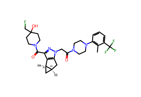 Cc1c(N2CCN(C(=O)Cn3nc(C(=O)N4CCC(O)(CF)CC4)c4c3C[C@H]3C[C@@H]43)CC2)cccc1C(F)(F)F